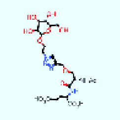 CC(=O)N[C@@H](COCc1cn(CCO[C@@H]2OC(CO)[C@@H](O)C(O)C2O)nn1)C(=O)N[C@H](CCC(=O)O)C(=O)O